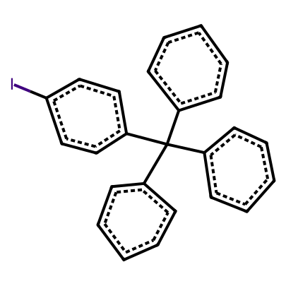 Ic1ccc(C(c2ccccc2)(c2ccccc2)c2ccccc2)cc1